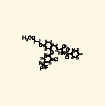 COCCOc1ccc(C=CC(=O)NS(=O)(=O)c2ccccn2)c(Oc2ncc(C(F)(F)F)cc2Cl)c1